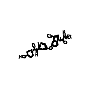 CCNC(=O)n1cc(Cl)c2cc(Oc3ccnc(NC(=O)N4CCC(O)CC4)c3)ccc21